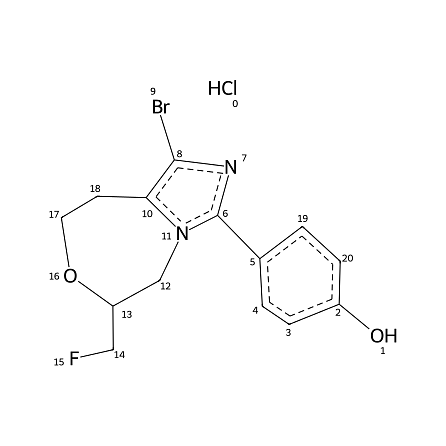 Cl.Oc1ccc(-c2nc(Br)c3n2CC(CF)OCC3)cc1